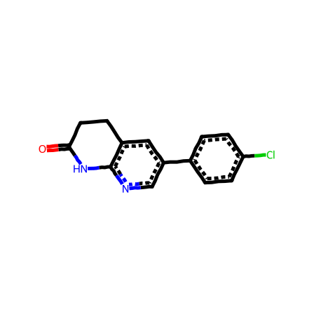 O=C1CCc2cc(-c3ccc(Cl)cc3)cnc2N1